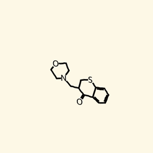 O=C1c2ccccc2SCC1CN1CCOCC1